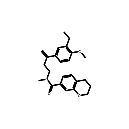 C=C(CCN(C)C(=O)c1ccc2c(c1)OCCC2)c1ccc(OC)c(CC)c1